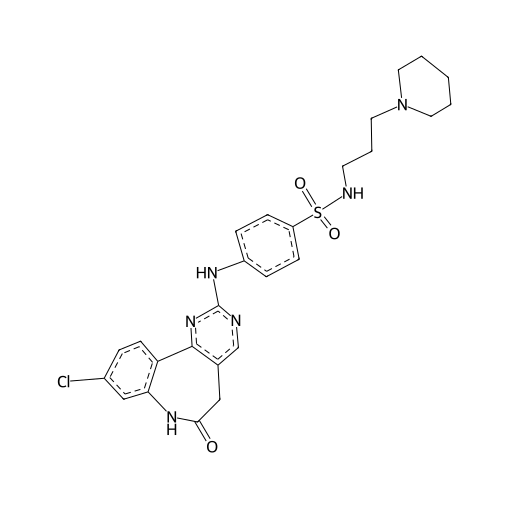 O=C1Cc2cnc(Nc3ccc(S(=O)(=O)NCCCN4CCCCC4)cc3)nc2-c2ccc(Cl)cc2N1